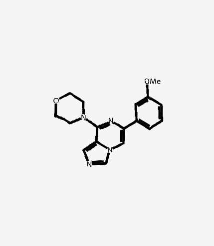 COc1cccc(-c2cn3cncc3c(N3CCOCC3)n2)c1